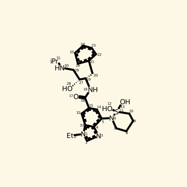 CCn1cnc2c(N3CCCCS3(O)O)cc(C(=O)N[C@@H](Cc3ccccc3)[C@H](O)CNC(C)C)cc21